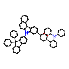 c1ccc(N(c2ccccc2)c2ccccc2-c2ccc(-c3ccc4c5c6ccccc6ccc5n(-c5ccc6c(c5)C(c5ccccc5)(c5ccccc5)c5ccccc5-6)c4c3)cc2)cc1